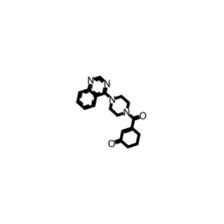 O=C1C=C(C(=O)N2CCN(c3ncnc4ccccc34)CC2)CCC1